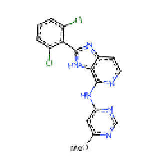 COc1cc(Nc2nccc3nc(-c4c(Cl)cccc4Cl)[nH]c23)ncn1